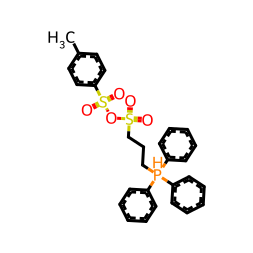 Cc1ccc(S(=O)(=O)OS(=O)(=O)CCC[PH](c2ccccc2)(c2ccccc2)c2ccccc2)cc1